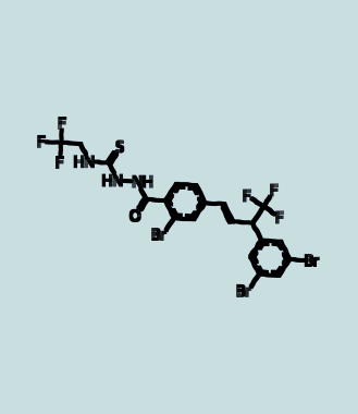 O=C(NNC(=S)NCC(F)(F)F)c1ccc(/C=C/C(c2cc(Br)cc(Br)c2)C(F)(F)F)cc1Br